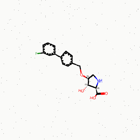 O=C(O)[C@@H]1NC[C@H](OCc2ccc(-c3cccc(F)c3)cc2)[C@H]1O